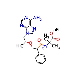 CCCOC(=O)C(C)(C)/N=[P+](\[O-])C(COC(C)Cn1cnc2c(N)ncnc21)c1ccccc1